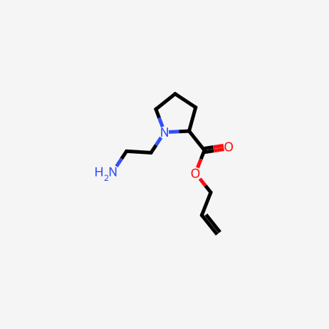 C=CCOC(=O)C1CCCN1CCN